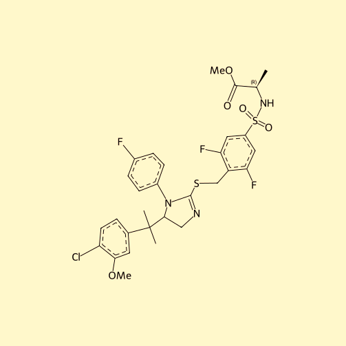 COC(=O)[C@@H](C)NS(=O)(=O)c1cc(F)c(CSC2=NCC(C(C)(C)c3ccc(Cl)c(OC)c3)N2c2ccc(F)cc2)c(F)c1